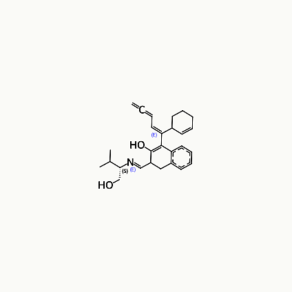 C=C=C/C=C(/C1=C(O)C(/C=N/[C@H](CO)C(C)C)Cc2ccccc21)C1C=CCCC1